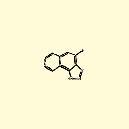 Brc1cc2ccncc2c2[nH]nnc12